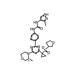 Cc1n[nH]cc1NC(=O)Nc1ccc(-c2nc(N3CCOC[C@@H]3C)cc(C3(S(=O)(=O)C4CCOC4)CC3)n2)cc1